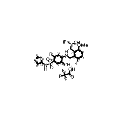 COc1ccc(F)c(CNc2cc(F)c(S(=O)(=O)Nc3cscn3)cc2C)c1CN(C)C(C)C.O=C(O)C(F)(F)F